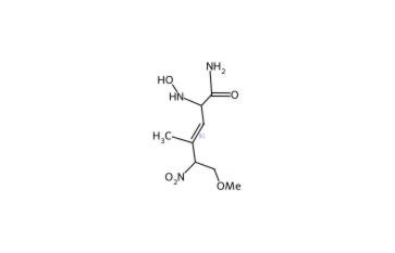 COCC(/C(C)=C/C(NO)C(N)=O)[N+](=O)[O-]